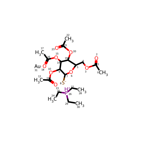 CC(=O)OCC1OC([S-])C(OC(C)=O)C(OC(C)=O)C1OC(C)=O.CC[PH+](CC)CC.[Au]